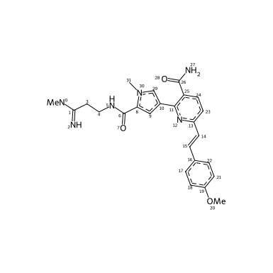 CNC(=N)CCNC(=O)c1cc(-c2nc(C=Cc3ccc(OC)cc3)ccc2C(N)=O)cn1C